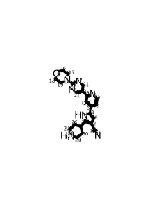 N#Cc1cc(-c2ccnc(-c3cnc(N4CCOCC4)nc3)c2)[nH]c1C1CCNCC1